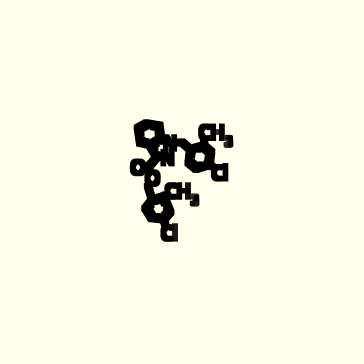 Cc1cc(Cl)ccc1COC(=O)c1nn(Cc2ccc(Cl)cc2C)c2ccccc12